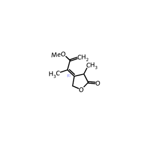 C=C(OC)/C(C)=C1/COC(=O)C1C